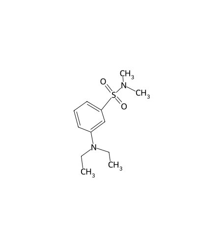 CCN(CC)c1cccc(S(=O)(=O)N(C)C)c1